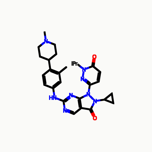 Cc1cc(Nc2ncc3c(=O)n(C4CC4)n(-c4ccc(=O)n(C(C)C)n4)c3n2)ccc1C1CCN(C)CC1